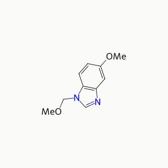 COCn1cnc2cc(OC)ccc21